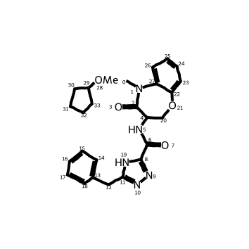 CN1C(=O)C(NC(=O)c2nnc(Cc3ccccc3)[nH]2)COc2ccccc21.COC1CCCC1